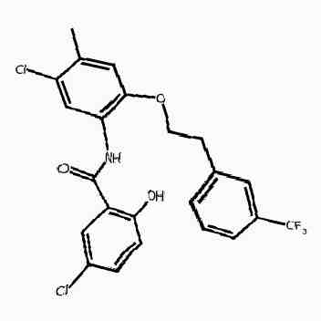 Cc1cc(OCCc2cccc(C(F)(F)F)c2)c(NC(=O)c2cc(Cl)ccc2O)cc1Cl